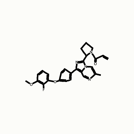 C=CC(=O)N1CCCC1c1nc(-c2ccc(Oc3cccc(OC)c3F)cc2)c2cnc(C)cn12